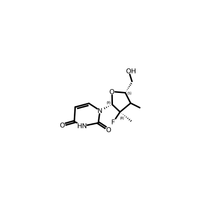 CC1[C@@H](CO)O[C@@H](n2ccc(=O)[nH]c2=O)[C@]1(C)F